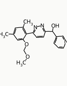 COCOc1cc(C)cc(C)c1-c1ccc(C(O)c2cccnc2)nn1